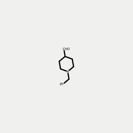 C[C](C)CN1CCC(C=O)CC1